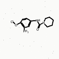 O=C(Nc1ccc(OCl)c(P)c1)N1CCCCC1